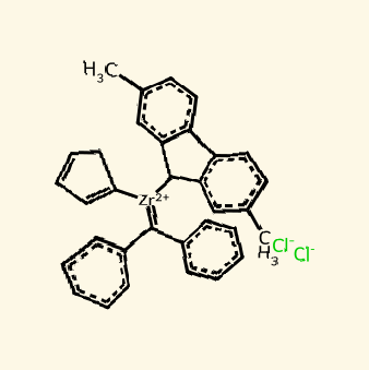 Cc1ccc2c(c1)[CH]([Zr+2]([C]1=CC=CC1)=[C](c1ccccc1)c1ccccc1)c1cc(C)ccc1-2.[Cl-].[Cl-]